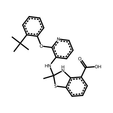 CC1(Nc2cccnc2Oc2ccccc2C(C)(C)C)Nc2c(cccc2C(=O)O)S1